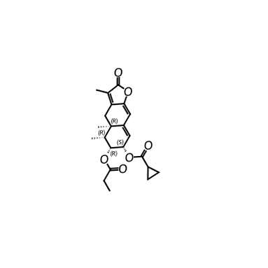 CCC(=O)O[C@H]1[C@@H](OC(=O)C2CC2)C=C2C=C3OC(=O)C(C)=C3C[C@]2(C)[C@H]1C